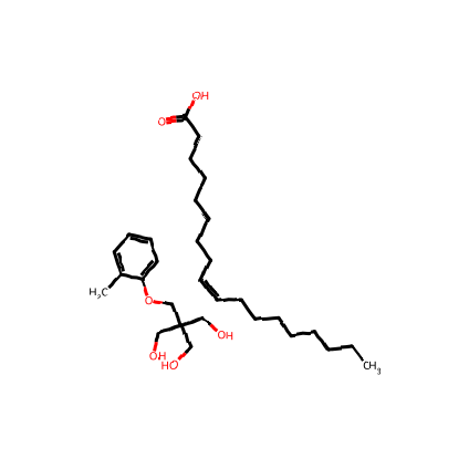 CCCCCCCC/C=C\CCCCCCCC(=O)O.Cc1ccccc1OCC(CO)(CO)CO